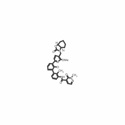 COc1nc(-c2cccc(-c3cccc(NC(=O)c4ccnn(C)c4=O)c3C)c2Cl)ccc1CN1C(=O)O[C@H]2CCCC[C@H]21